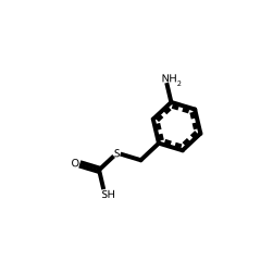 Nc1cccc(CSC(=O)S)c1